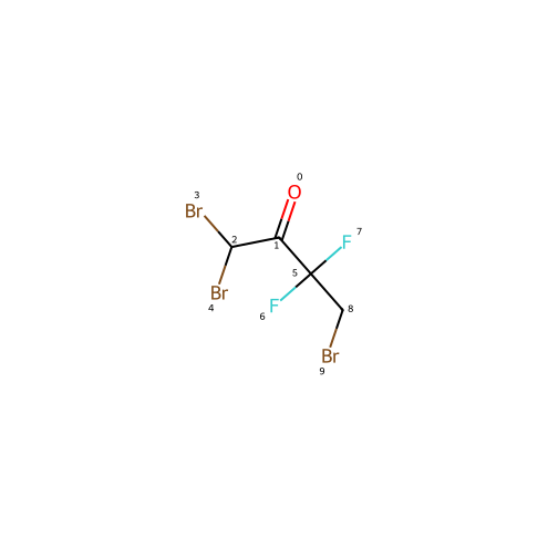 O=C(C(Br)Br)C(F)(F)CBr